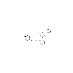 O=C(CC1CCCCN1N1CN(Cl)CN(n2ccnc2)C1)NCc1ccc2c(c1)OCO2